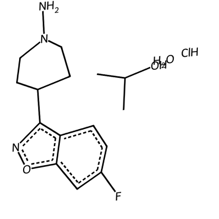 CC(C)O.Cl.NN1CCC(c2noc3cc(F)ccc23)CC1.O